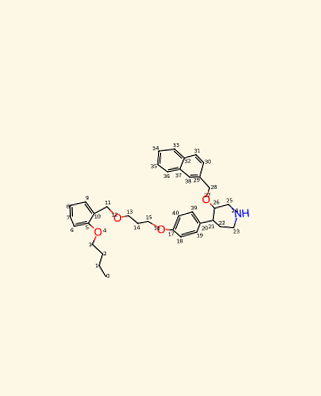 CCCCOc1ccccc1COCCCOc1ccc(C2CCNCC2OCc2ccc3ccccc3c2)cc1